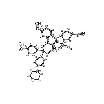 COc1ccc(C2(c3ccc(N4CCOCC4)cc3)C=Cc3c4c(c5ccc(OC)cc5c3O2)-c2ccc(C#N)cc2C4(C)C)cc1